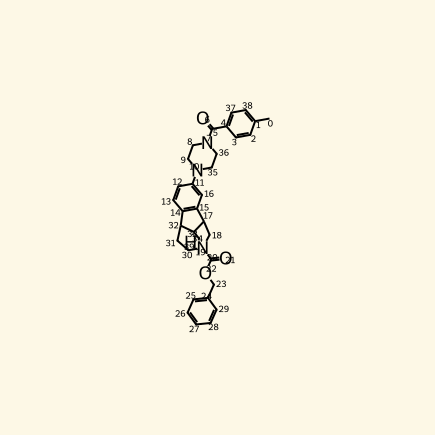 Cc1ccc(C(=O)N2CCN(c3ccc4c(c3)C3CN(C(=O)OCc5ccccc5)CCC4[C@@H]3C)CC2)cc1